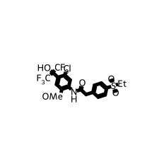 CCS(=O)(=O)c1ccc(CC(=O)Nc2cc(Cl)c(C(O)(C(F)(F)F)C(F)(F)F)cc2OC)cc1